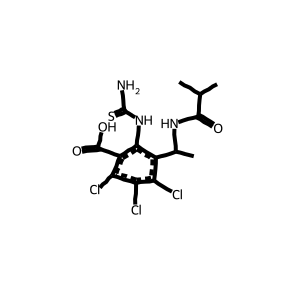 CC(C)C(=O)NC(C)c1c(Cl)c(Cl)c(Cl)c(C(=O)O)c1NC(N)=S